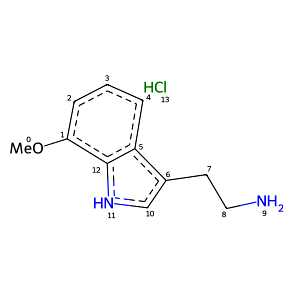 COc1cccc2c(CCN)c[nH]c12.Cl